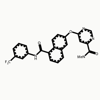 CNC(=O)c1cc(Oc2ccc3c(C(=O)Nc4cccc(C(F)(F)F)c4)cccc3c2)ncn1